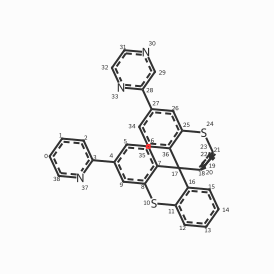 c1ccc(-c2ccc3c(c2)Sc2ccccc2C32c3ccccc3Sc3cc(-c4cnccn4)ccc32)nc1